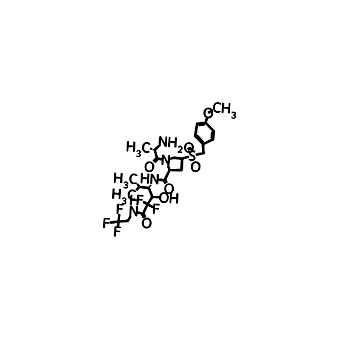 COc1ccc(CS(=O)(=O)C2CC(C(=O)N[C@@H](C(C)C)[C@@H](O)C(F)(F)C(=O)NCC(F)(F)F)N(C(=O)[C@H](C)N)C2)cc1